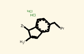 CC1=Cc2cc(CC(C)C)ccc2[CH]1[Zr].Cl.Cl